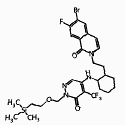 C[Si](C)(C)CCOCn1ncc(NC2CCCCC2CCn2ccc3cc(Br)c(F)cc3c2=O)c(C(F)(F)F)c1=O